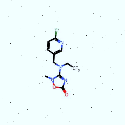 Cn1oc(=O)nc1N(Cc1ccc(Cl)nc1)CC(F)(F)F